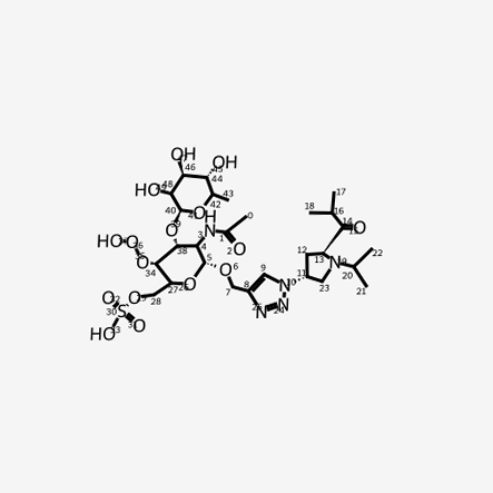 CC(=O)NC1[C@H](OCc2cn([C@@H]3C[C@@H](C(=O)C(C)C)N(C(C)C)C3)nn2)OC(COS(=O)(=O)O)[C@H](OOO)[C@@H]1O[C@@H]1OC(C)[C@@H](O)[C@H](O)C1O